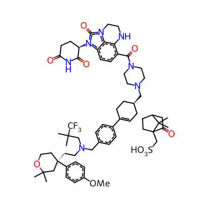 CC1(C)C2CCC1(CS(=O)(=O)O)C(=O)C2.COc1ccc([C@]2(CCN(Cc3ccc(C4=CC[C@H](CN5CCN(C(=O)c6ccc7c8c6NCCn8c(=O)n7[C@@H]6CCC(=O)NC6=O)CC5)CC4)cc3)CC(C)(C)C(F)(F)F)CCOC(C)(C)C2)cc1